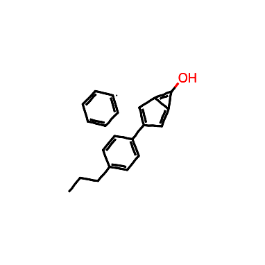 CCCc1ccc(-c2cc3c(O)c-3c2)cc1.[c]1ccccc1